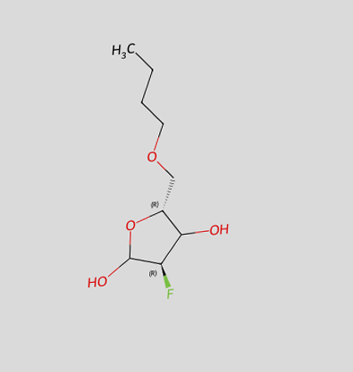 CCCCOC[C@H]1OC(O)[C@H](F)C1O